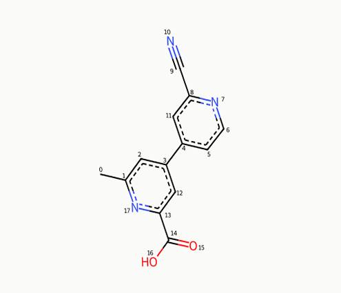 Cc1cc(-c2ccnc(C#N)c2)cc(C(=O)O)n1